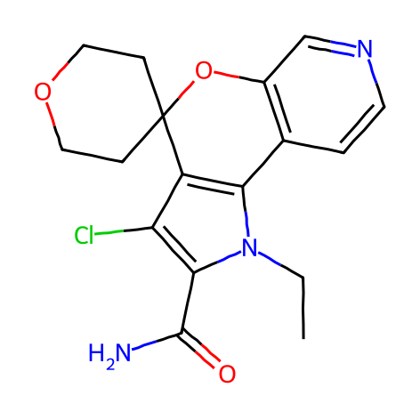 CCn1c(C(N)=O)c(Cl)c2c1-c1ccncc1OC21CCOCC1